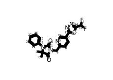 CC1(C)C(=O)N(Cc2ccc(-c3nnc(C(F)F)o3)cn2)C(=O)N1c1ccccc1